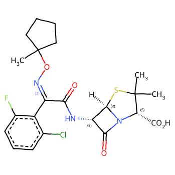 CC1(O/N=C(\C(=O)N[C@H]2C(=O)N3[C@@H]2SC(C)(C)[C@@H]3C(=O)O)c2c(F)cccc2Cl)CCCC1